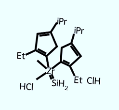 CCC1=[C]([Zr]([CH3])([CH3])(=[SiH2])[C]2=C(CC)C=C(C(C)C)C2)CC(C(C)C)=C1.Cl.Cl